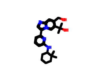 CC(C)(O)c1cn2c(-c3cccc(NC4CCCCC4(C)C)n3)cnc2cc1CO